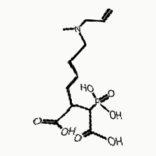 C=CCN(C)CCCCC(C(=O)O)C(C(=O)O)P(=O)(O)O